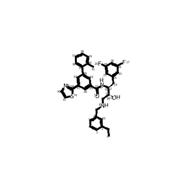 CCc1cccc(CNC[C@@H](O)[C@H](Cc2cc(F)cc(F)c2)NC(=O)c2cc(-c3nccs3)cc(-c3ccccc3C)c2)c1